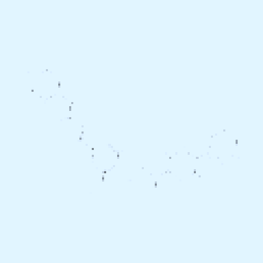 COc1cc(C=CC(=O)NC2CCC(C)CC2)ccc1OCC(=O)N1CCC(N2CCCCC2)CC1